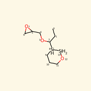 CCC(OCC1CO1)[SiH]1CCCO[SiH2]1